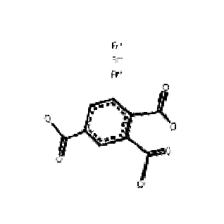 O=C([O-])c1ccc(C(=O)[O-])c(C(=O)[O-])c1.[Fr+].[Fr+].[Fr+]